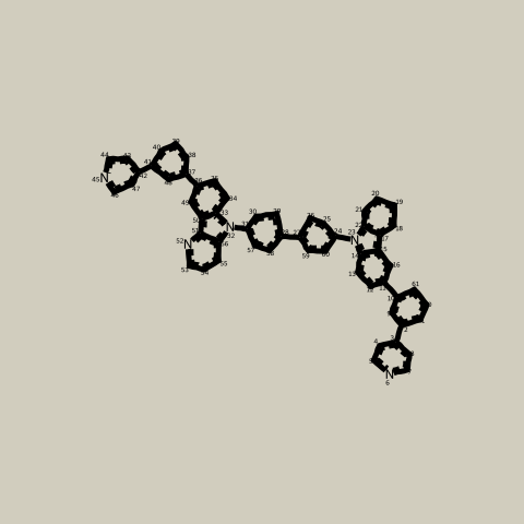 c1cc(-c2ccncc2)cc(-c2ccc3c(c2)c2ccccc2n3-c2ccc(-c3ccc(-n4c5ccc(-c6cccc(-c7ccncc7)c6)cc5c5ncccc54)cc3)cc2)c1